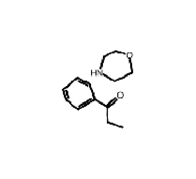 C1COCCN1.CCC(=O)c1ccccc1